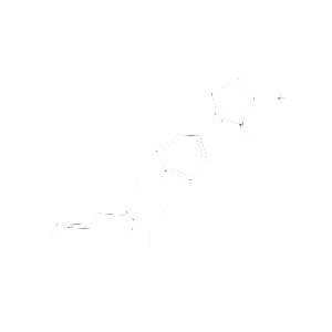 C=CCN(C)S(=O)(=O)c1ccc(N2CC[C@H](CC)C2=O)cc1